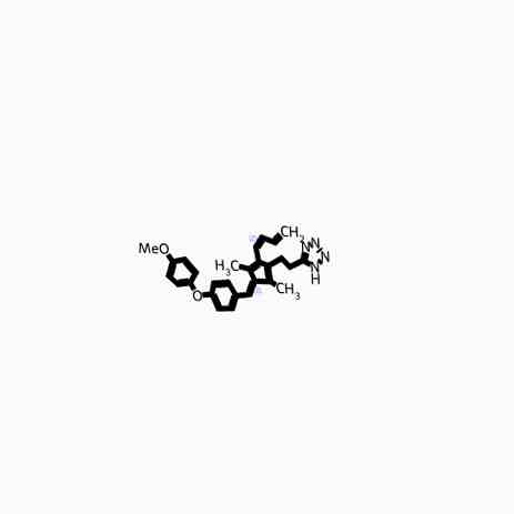 C=C/C=C\C1=C(C)C(=C\c2ccc(Oc3ccc(OC)cc3)cc2)/C(C)=C1CCc1nnn[nH]1